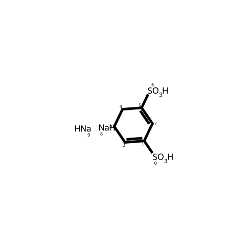 O=S(=O)(O)C1=CCCC(S(=O)(=O)O)=C1.[NaH].[NaH]